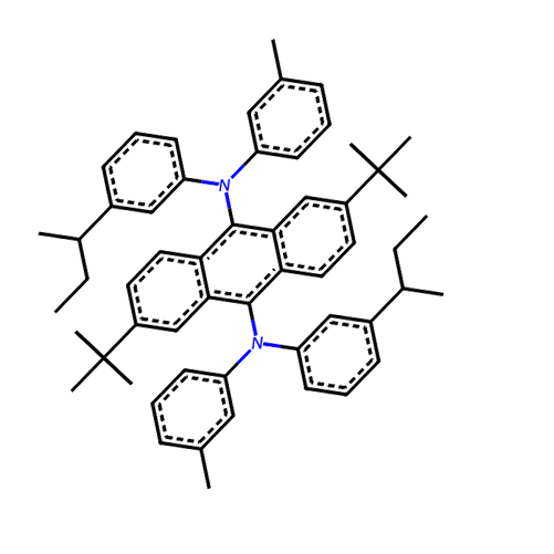 CCC(C)c1cccc(N(c2cccc(C)c2)c2c3ccc(C(C)(C)C)cc3c(N(c3cccc(C)c3)c3cccc(C(C)CC)c3)c3ccc(C(C)(C)C)cc23)c1